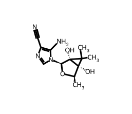 C[C@H]1O[C@@H](n2cnc(C#N)c2N)[C@@]2(O)C(C)(C)[C@@]12O